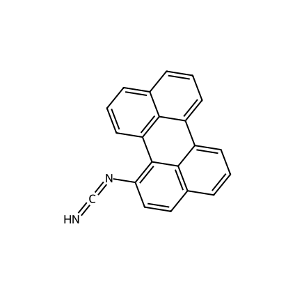 N=C=Nc1ccc2cccc3c4cccc5cccc(c1c23)c54